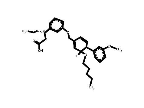 CCCCCOC1(F)C=C(COc2cccc([C@@H](CCC)CC(=O)O)c2)C=CC1c1cccc(OC)c1